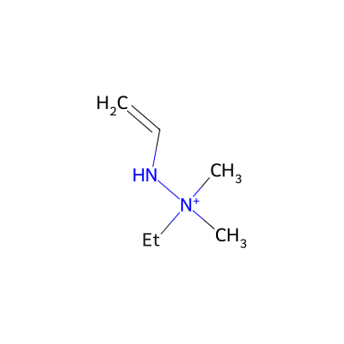 C=CN[N+](C)(C)CC